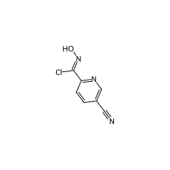 N#Cc1ccc(C(Cl)=NO)nc1